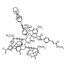 COC(=O)/C=C/c1ccc(NC(=O)Cc2cc(C)cc(OP(=O)(O)O)c2C(C)(C)CC(=O)O[C@@H](CN(Cc2c(F)cc(-c3ccn(C(F)F)n3)cc2F)NC(=O)[C@@H](NC(=O)OC)C(C)(C)C(F)(F)F)[C@H](Cc2ccc(C#Cc3cnc(N4CC5CCC(C4)N5C4COC4)nc3)cc2)NC(=O)[C@@H](NC(=O)OC)C(C)(C)C(F)(F)F)cc1